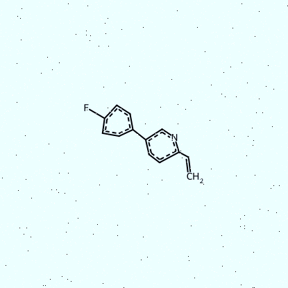 C=Cc1ccc(-c2ccc(F)cc2)cn1